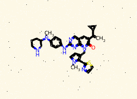 C=C(c1cc2cnc(Nc3ccc(N(C)C4CCCNC4)cc3)nc2n(Cc2ccn(C)c2-c2nccs2)c1=O)C1CC1